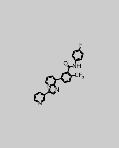 O=C(Nc1ccc(F)cc1)c1cc(-c2cccn3c(-c4cccnc4)cnc23)ccc1C(F)(F)F